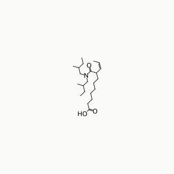 C/C=C\C(CCCCCCC(=O)O)C(=O)N(CC(C)CC)CC(C)CC